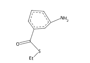 CCSC(=O)c1cccc(N)c1